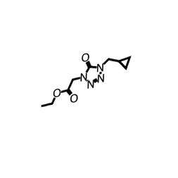 CCOC(=O)Cn1nnn(CC2CC2)c1=O